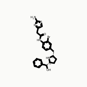 Nc1nc(CC(=O)Nc2ccc(C[C@@H]3CC[C@H](C(O)c4ccccc4)N3)cc2Br)cs1